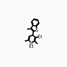 CCC1=C(C)N(CC)C(C)=CC1c1sc2ccccc2c1C